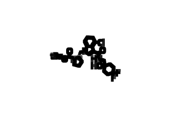 CC(C)(C)OC(=O)N1CCC[C@H]1Cn1cc(C(=O)NCC2(O)CCC(F)(F)CC2)c2c(Cl)cccc21